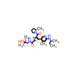 CC[C@H](C)Nc1cc(C)c(-c2sc(C(=O)NCC(C)(C)O)nc2C(=O)N2CCC[C@@H]2C)cn1